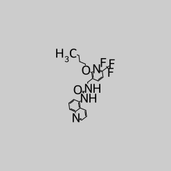 CCCCOc1nc(C(F)(F)F)ccc1CNC(=O)Nc1cccc2ncccc12